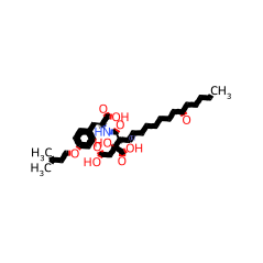 CCCCCC(=O)CCCCCC/C=C/[C@H](C(=O)N[C@@H](Cc1ccc(OCCC(C)C)cc1)C(=O)O)[C@@](O)(CC(=O)O)C(=O)O